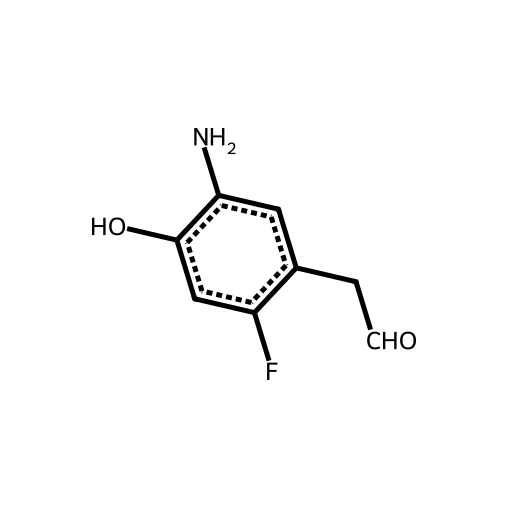 Nc1cc(CC=O)c(F)cc1O